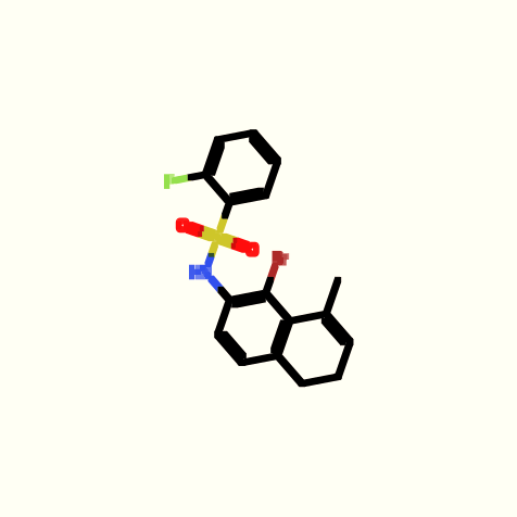 CC1=CCCc2ccc(NS(=O)(=O)c3ccccc3F)c(Br)c21